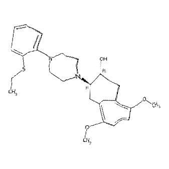 CCSc1ccccc1N1CCN([C@@H]2Cc3c(OC)ccc(OC)c3C[C@H]2O)CC1